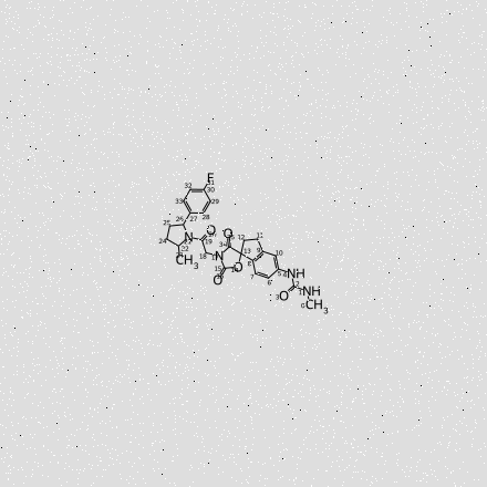 CNC(=O)Nc1ccc2c(c1)CCC21OC(=O)N(CC(=O)N2C(C)CCC2c2ccc(F)cc2)C1=O